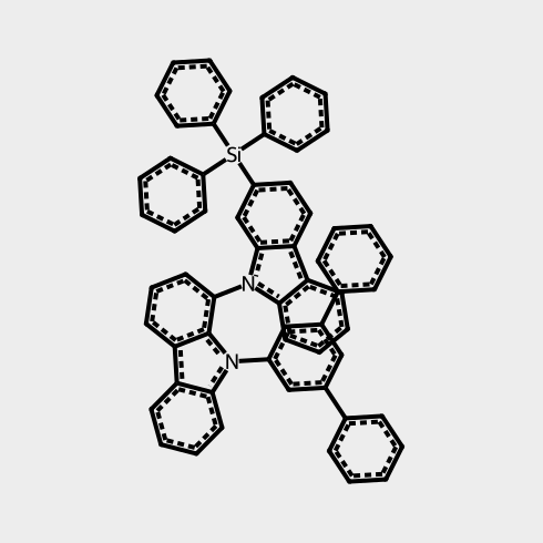 c1ccc(-c2cc(-c3ccccc3)cc(-n3c4ccccc4c4cccc(-n5c6ccccc6c6ccc([Si](c7ccccc7)(c7ccccc7)c7ccccc7)cc65)c43)c2)cc1